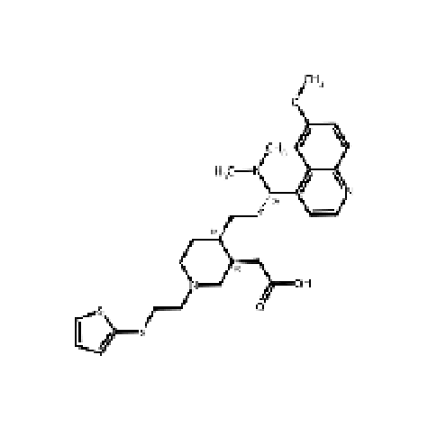 COc1ccc2nccc([C@H](CC[C@@H]3CCN(CCSc4cccs4)C[C@@H]3CC(=O)O)N(C)C)c2c1